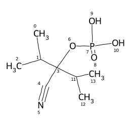 CC(C)C(C#N)(OP(=O)(O)O)C(C)C